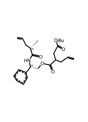 C=CCC(CC(=O)OCC(C)C)C(=O)OC[C@@H](NC(=O)[C@@H](C)CC=C)c1ccccc1